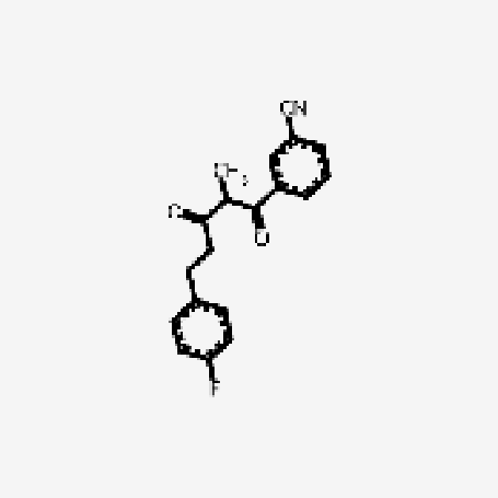 CC(C(=O)CCc1ccc(F)cc1)C(=O)c1cccc(C#N)c1